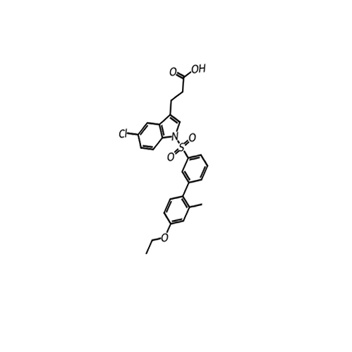 CCOc1ccc(-c2cccc(S(=O)(=O)n3cc(CCC(=O)O)c4cc(Cl)ccc43)c2)c(C)c1